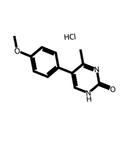 COc1ccc(-c2c[nH]c(=O)nc2C)cc1.Cl